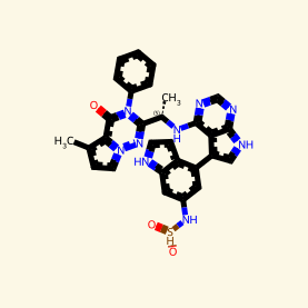 Cc1ccn2nc([C@H](C)Nc3ncnc4[nH]cc(-c5cc(N[SH](=O)=O)cc6[nH]ccc56)c34)n(-c3ccccc3)c(=O)c12